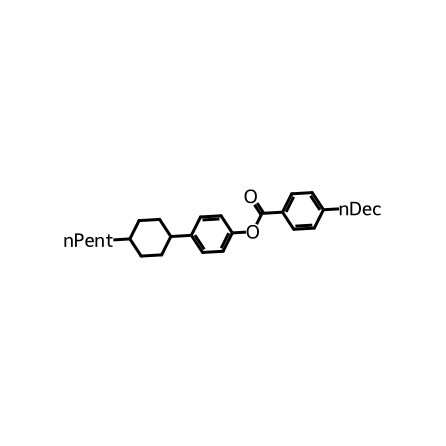 CCCCCCCCCCc1ccc(C(=O)Oc2ccc(C3CCC(CCCCC)CC3)cc2)cc1